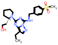 CCc1cnn2c(NCc3ccc(S(C)(=O)=O)cc3)nc(N3CCCC[C@H]3CCO)nc12